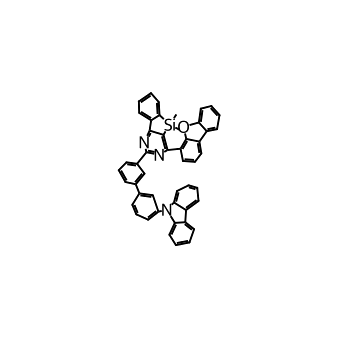 C[Si]1(C)c2ccccc2-c2nc(-c3cccc(-c4cccc(-n5c6ccccc6c6ccccc65)c4)c3)nc(-c3cccc4c3oc3ccccc34)c21